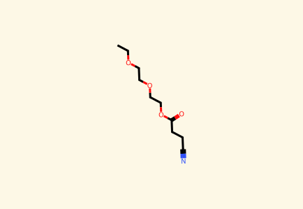 CCOCCOCCOC(=O)CCC#N